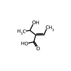 C/C=C(/C(=O)O)C(C)O